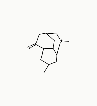 CC1CC2C(=O)CC3CC2C(C1)N(C)C3